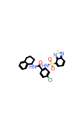 O=C(NC1CCCc2ccccc21)c1ccc(Cl)cc1NS(=O)(=O)c1cccc2nsnc12